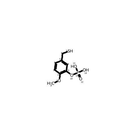 COc1ccc(CS)cc1OP(=O)(O)O